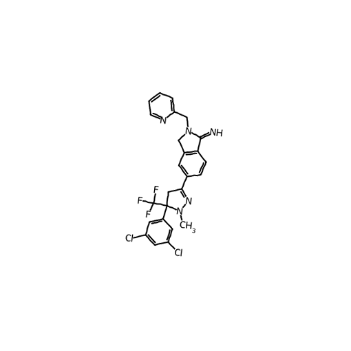 CN1N=C(c2ccc3c(c2)CN(Cc2ccccn2)C3=N)CC1(c1cc(Cl)cc(Cl)c1)C(F)(F)F